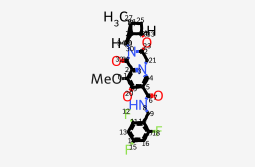 COc1c2n(cc(C(=O)NCc3c(F)cc(F)cc3F)c1=O)CC1O[C@@H]3C[C@@]4(C)C3[C@H]4N1C2=O